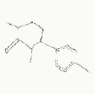 Cc1ccc(C2CCC(C)C(=O)C2C)cc1